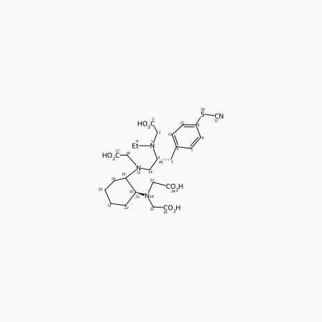 CCN(CC(=O)O)[C@H](Cc1ccc(SC#N)cc1)CN(CC(=O)O)C1CCCC[C@@H]1N(CC(=O)O)CC(=O)O